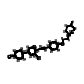 CC1CCN(CCOc2ccc(C#Cc3ncc(-c4ccc(Cl)cc4)cc3Cl)cc2)CC1